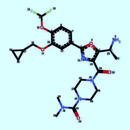 C[C@H](N)c1oc(-c2ccc(OC(F)F)c(OCC3CC3)c2)nc1C(=O)N1CCN(C(=O)N(C)C)CC1